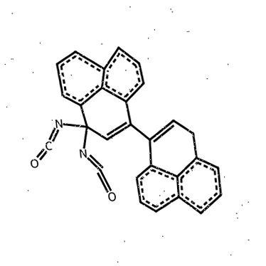 O=C=NC1(N=C=O)C=C(C2=CCc3cccc4cccc2c34)c2cccc3cccc1c23